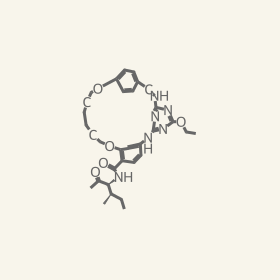 CCOc1nc2nc(n1)Nc1ccc(C(=O)N[C@H](C(C)=O)[C@H](C)CC)c(c1)OCCCCCCOc1ccc(cc1)CN2